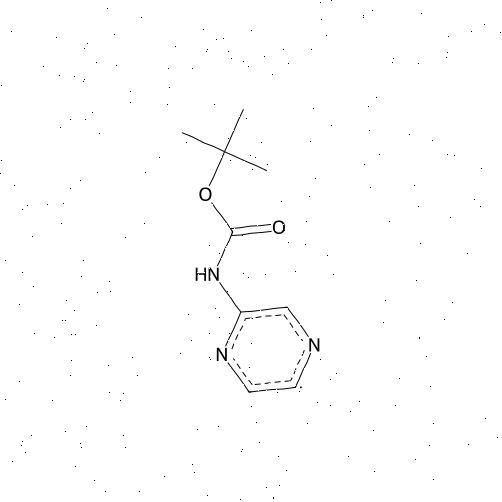 CC(C)(C)OC(=O)Nc1cn[c]cn1